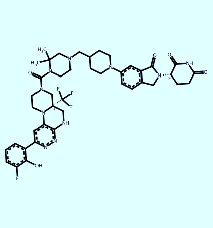 CC1(C)CN(CC2CCN(c3ccc4c(c3)C(=O)N([C@H]3CCC(=O)NC3=O)C4)CC2)CCN1C(=O)N1CCN2c3cc(-c4cccc(F)c4O)nnc3NC[C@]2(C(F)(F)F)C1